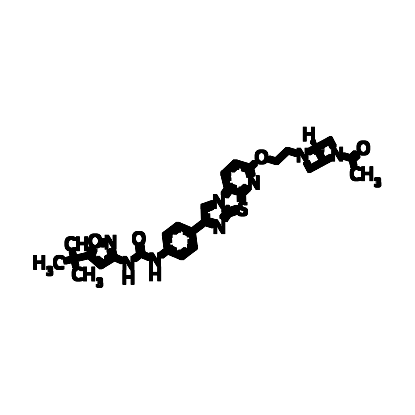 CC(=O)N1C[C@@H]2C1CN2CCOc1ccc2c(n1)sc1nc(-c3ccc(NC(=O)Nc4cc(C(C)(C)C)on4)cc3)cn12